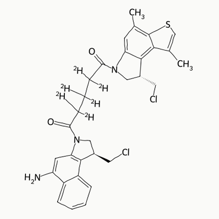 [2H]C([2H])(C(=O)N1C[C@@H](CCl)c2c1cc(N)c1ccccc21)C([2H])([2H])C([2H])([2H])C(=O)N1C[C@@H](CCl)c2c1cc(C)c1scc(C)c21